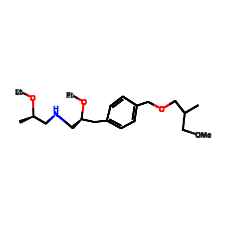 CCO[C@H](CNC[C@@H](C)OCC)Cc1ccc(COCC(C)COC)cc1